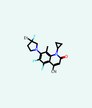 CCC1(F)CCN(c2c(F)c(F)c3c(C#N)cc(=O)n(C4CC4)c3c2C)C1